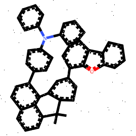 CC1(C)c2ccc(-c3cccc4c3oc3ccccc34)cc2-c2c(-c3ccc(N(c4ccccc4)c4ccccc4)cc3)ccc3cccc1c23